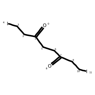 O=C(CCI)CCC(=O)CCI